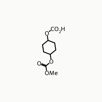 COC(=O)OC1CCC(OC(=O)O)CC1